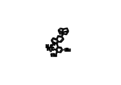 Cc1c(-c2c3ccc(C45CC6CC(CC(C6)C4)C5)cc3cc[n+]2C)cc(C(C)(C)C)cc1C(C)(C)C